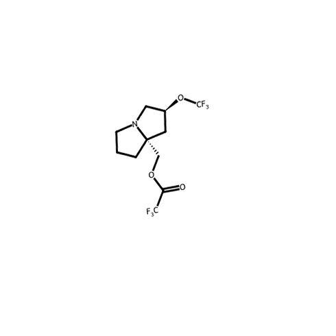 O=C(OC[C@]12CCCN1C[C@@H](OC(F)(F)F)C2)C(F)(F)F